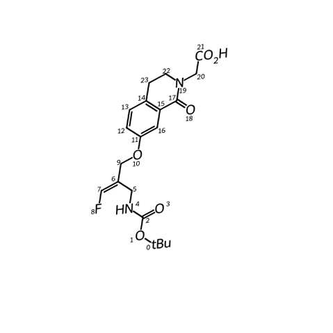 CC(C)(C)OC(=O)NC/C(=C\F)COc1ccc2c(c1)C(=O)N(CC(=O)O)CC2